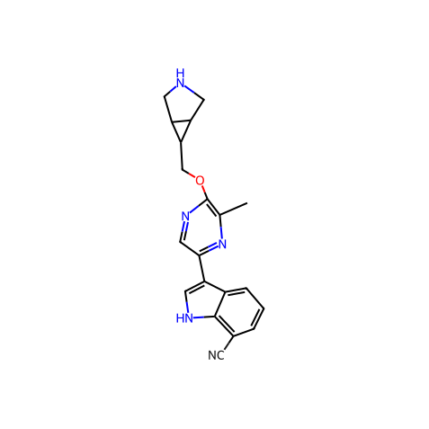 Cc1nc(-c2c[nH]c3c(C#N)cccc23)cnc1OCC1C2CNCC21